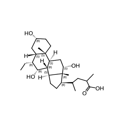 CC[C@H]1[C@@H](O)[C@@H]2[C@H](C[C@H](O)[C@]3(C)[C@@H](C(C)CC(C)C(=O)O)CC[C@@H]23)[C@@]2(C)CC[C@@H](O)C[C@@H]12